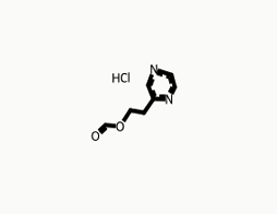 Cl.O=COCCc1cnccn1